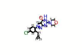 O=c1[nH]c(N2CCOCC2)nc2nn(-c3ccc(Cl)cc3CC3CC3)cc12